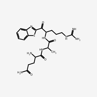 CC(NC(=O)C(N)CCC(N)=O)C(=O)NC(CCCNC(=N)N)C(=O)c1nc2ccccc2s1